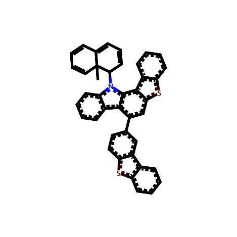 CC12C=CC=CC1=CC=CC2n1c2ccccc2c2c(-c3ccc4sc5ccccc5c4c3)cc3sc4ccccc4c3c21